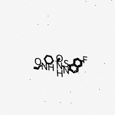 C=CC(=O)N[C@@H]1CCC[C@H](C(=O)Nc2nc3ccc4cc(F)ccc4c3s2)C1